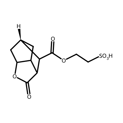 O=C1OC2C[C@@H]3CC2C1C3C(=O)OCCS(=O)(=O)O